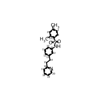 Cc1ccc(S(=O)(=O)Nc2cccc(CCc3ccccn3)c2)c(C)c1